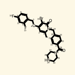 Cc1cc(OCc2ccc(F)cc2F)c(Br)c(=O)n1Cc1ccc(C(=O)N2CCNCC2)cc1